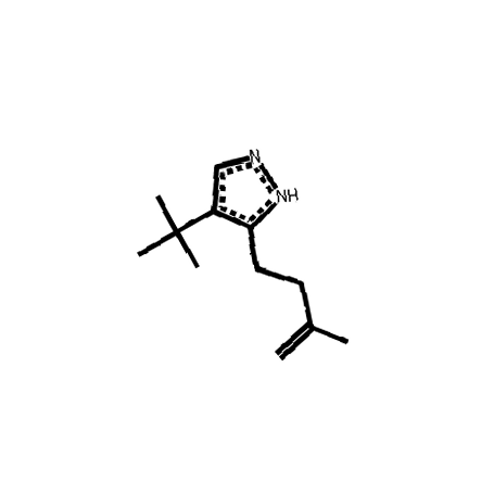 C=C(C)CCc1[nH]ncc1C(C)(C)C